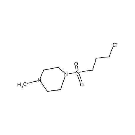 CN1CCN(S(=O)(=O)CCCCl)CC1